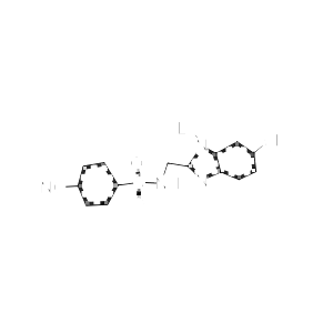 CCn1c([C@@H](C)NS(=O)(=O)c2ccc(C#N)cc2)nc2ccc(C(F)(F)F)cc21